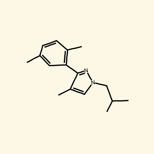 Cc1ccc(C)c(-c2nn(CC(C)C)cc2C)c1